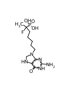 CC(F)(CCCCCN1CNc2c1nc(N)[nH]c2=O)P(=O)(O)O